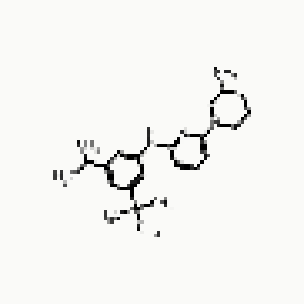 CC(C)c1cc(Nc2ccnc(N3CCC[C@H](N)C3)n2)cc(C(C)(C)C)c1